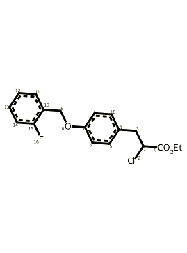 CCOC(=O)C(Cl)Cc1ccc(OCc2ccccc2F)cc1